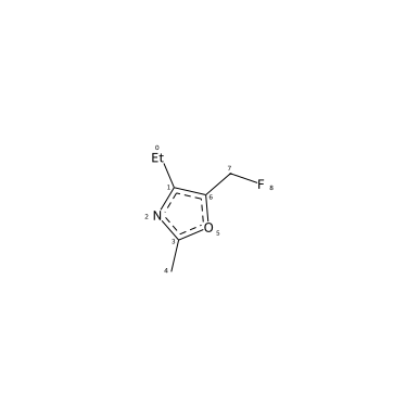 CCc1nc(C)oc1CF